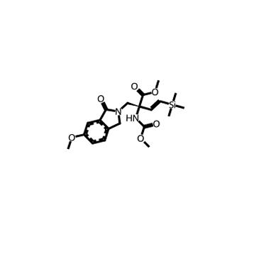 COC(=O)N[C@](C=C[Si](C)(C)C)(CN1Cc2ccc(OC)cc2C1=O)C(=O)OC